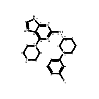 Fc1cccc(N2CCC[C@@H](Nc3nc(N4CCOCC4)c4nc[nH]c4n3)C2)c1